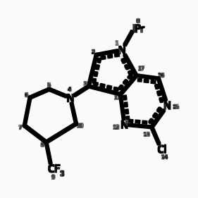 CC(C)n1cc(N2CCCC(C(F)(F)F)C2)c2nc(Cl)ncc21